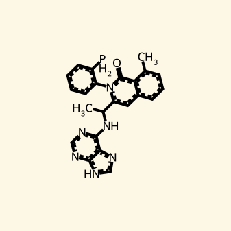 Cc1cccc2cc(C(C)Nc3ncnc4[nH]cnc34)n(-c3ccccc3P)c(=O)c12